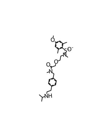 COc1cc(C)c([S+]([O-])N(C)CCOCC(=O)N(C)Cc2ccc(CCNC(C)C)cc2)c(C)c1